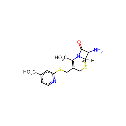 NC1C(=O)N2C(C(=O)O)=C(CSc3cc(C(=O)O)ccn3)CS[C@H]12